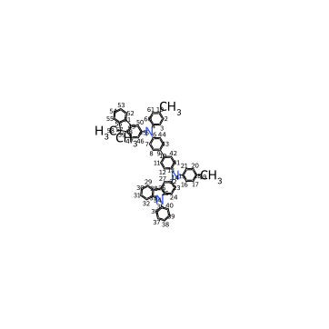 Cc1ccc(N(c2ccc(-c3ccc(N(c4ccc(C)cc4)c4ccc5c(c4)c4ccccc4n5-c4ccccc4)cc3)cc2)c2ccc3c(c2)-c2ccccc2C3(C)C)cc1